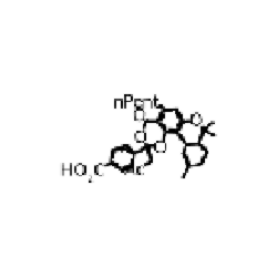 CCCCCc1cc2c(c3c1C(=O)OC(CC(C)=O)(c1ccc(C(=O)O)cc1)O3)C1C=C(C)CCC1C(C)(C)O2